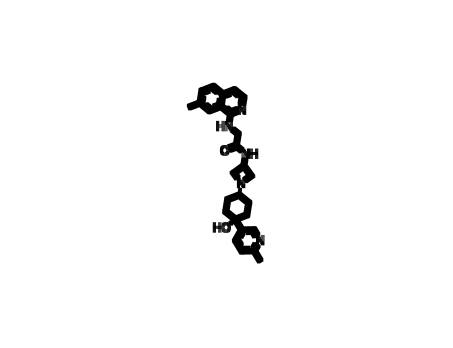 Cc1ccc2ccnc(NCC(=O)NC3CN([C@H]4CC[C@@](O)(c5ccc(C)nc5)CC4)C3)c2c1